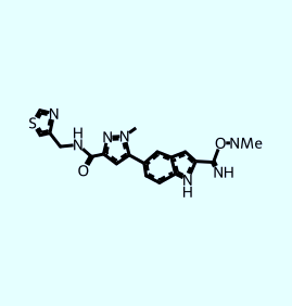 CNOC(=N)c1cc2cc(-c3cc(C(=O)NCc4cscn4)nn3C)ccc2[nH]1